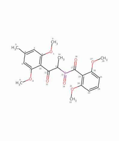 COc1cc(C)cc(OC)c1C(=O)C(C)[P](=O)C(=O)c1c(OC)cccc1OC